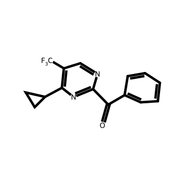 O=C(c1ccccc1)c1ncc(C(F)(F)F)c(C2CC2)n1